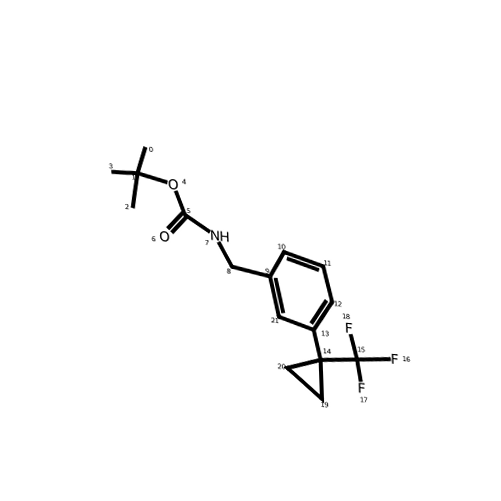 CC(C)(C)OC(=O)NCc1cccc(C2(C(F)(F)F)CC2)c1